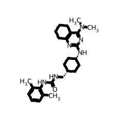 Cc1cccc(C)c1NC(=O)NC[C@H]1CC[C@@H](Nc2nc3c(c(N(C)C)n2)CCCC3)CC1